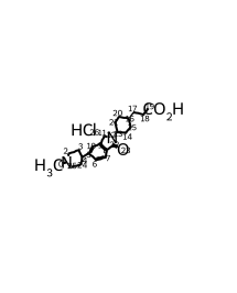 CN1CCC(c2ccc3c(c2)CN([C@H]2CC[C@H](CCC(=O)O)CC2)C3=O)CC1.Cl